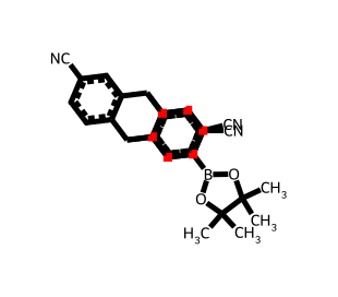 CC1(C)OB(c2cc3c(cc2C#N)C2c4cc(C#N)ccc4C3c3ccc(C#N)cc32)OC1(C)C